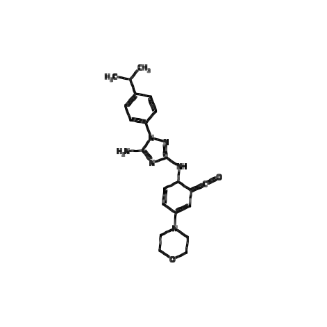 CC(C)c1ccc(-n2nc(NC3C=CC(N4CCOCC4)=CC3=C=O)nc2N)cc1